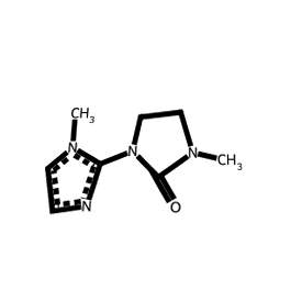 CN1CCN(c2nccn2C)C1=O